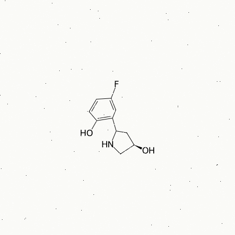 Oc1ccc(F)cc1C1C[C@@H](O)CN1